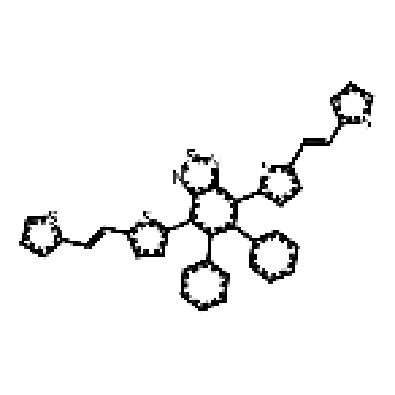 C(=C\c1ccc(-c2c(-c3ccccc3)c(-c3ccccc3)c(-c3ccc(/C=C/c4cccs4)s3)c3nsnc23)s1)/c1cccs1